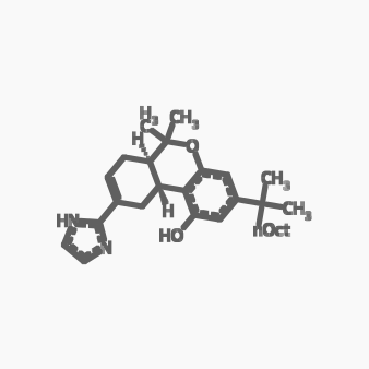 CCCCCCCCC(C)(C)c1cc(O)c2c(c1)OC(C)(C)[C@@H]1CC=C(c3ncc[nH]3)C[C@@H]21